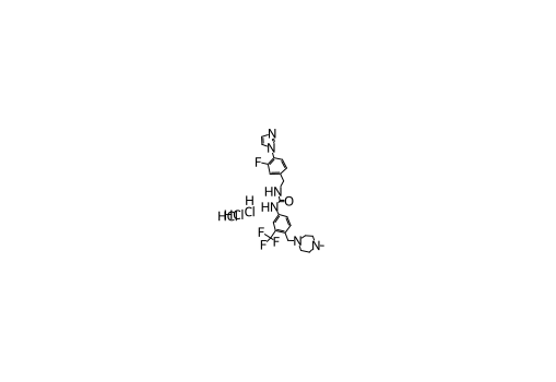 CN1CCN(Cc2ccc(NC(=O)NCc3ccc(-n4ccnc4)c(F)c3)cc2C(F)(F)F)CC1.Cl.Cl.Cl